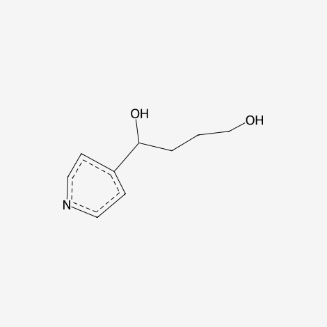 OCCCC(O)c1ccncc1